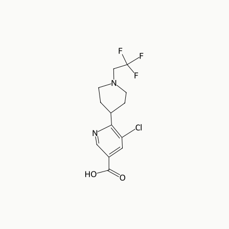 O=C(O)c1cnc(C2CCN(CC(F)(F)F)CC2)c(Cl)c1